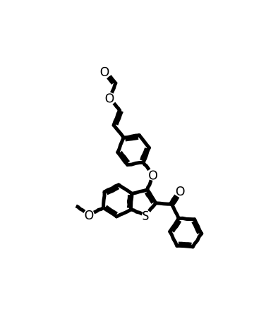 COc1ccc2c(Oc3ccc(/C=C/OC=O)cc3)c(C(=O)c3ccccc3)sc2c1